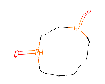 O=[PH]1CCCCC[PH](=O)CC1